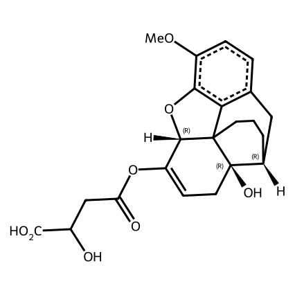 COc1ccc2c3c1O[C@H]1C(OC(=O)CC(O)C(=O)O)=CC[C@@]4(O)[C@H](CCCC314)C2